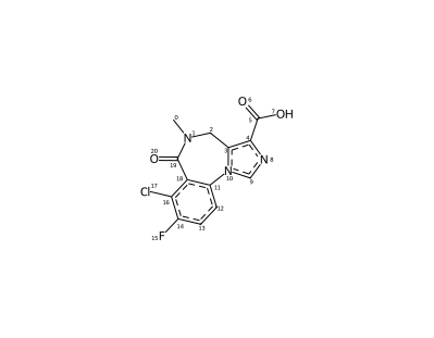 CN1Cc2c(C(=O)O)ncn2-c2ccc(F)c(Cl)c2C1=O